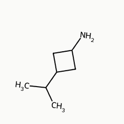 CC(C)C1CC(N)C1